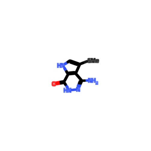 CSc1c[nH]c2c(=O)[nH]nc(N)c12